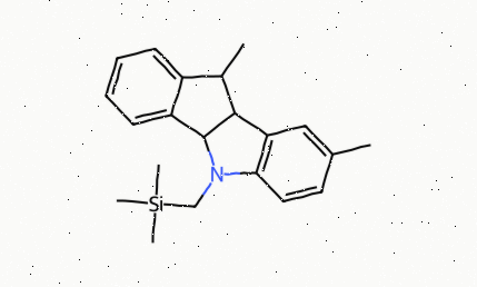 Cc1ccc2c(c1)C1C(C)c3ccccc3C1N2C[Si](C)(C)C